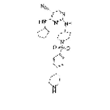 N#Cc1cnc(NC2CCN(S(=O)(=O)c3ccc(C4CCNCC4)cc3)CC2)nc1NC1CCCC1